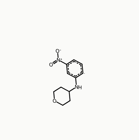 O=[N+]([O-])c1cc[c]c(NC2CCOCC2)c1